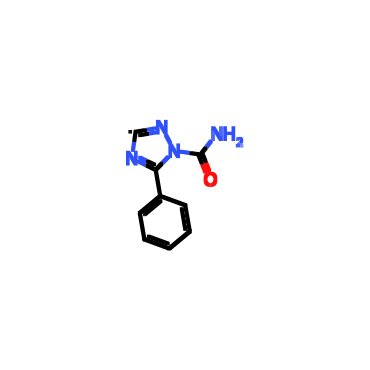 NC(=O)n1n[c]nc1-c1ccccc1